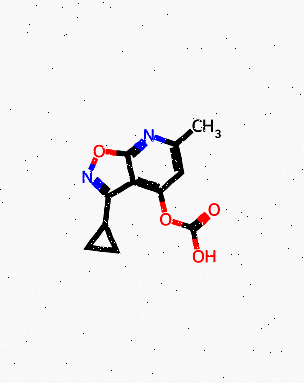 Cc1cc(OC(=O)O)c2c(C3CC3)noc2n1